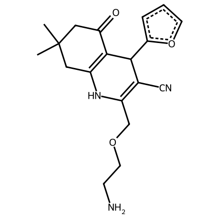 CC1(C)CC(=O)C2=C(C1)NC(COCCN)=C(C#N)C2c1ccco1